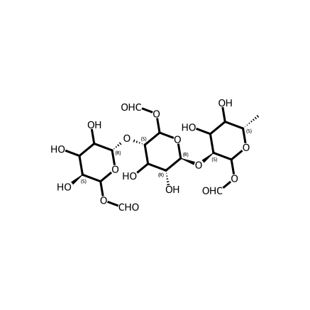 C[C@@H]1OC(OC=O)[C@@H](O[C@@H]2OC(OC=O)[C@@H](O[C@@H]3OC(OC=O)[C@@H](O)C(O)C3O)C(O)[C@H]2O)C(O)C1O